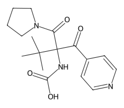 CC(C)(C)C(NC(=O)O)(C(=O)c1ccncc1)C(=O)N1CCCC1